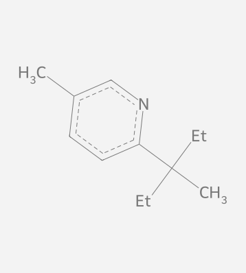 CCC(C)(CC)c1ccc(C)cn1